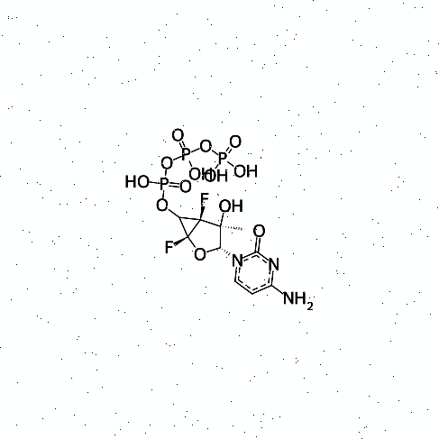 C[C@]1(O)[C@H](n2ccc(N)nc2=O)O[C@]2(F)C(OP(=O)(O)OP(=O)(O)OP(=O)(O)O)[C@]12F